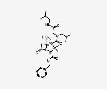 CC(C)CNC(=O)CN(CC(C)C)C(=O)[S@]1(CO)[C@@H]2CC(=O)N2[C@@H](C(=O)OCc2ccccc2)C1(C)C